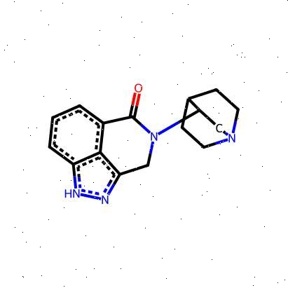 O=C1c2cccc3[nH]nc(c23)CN1C1CN2CCC1CC2